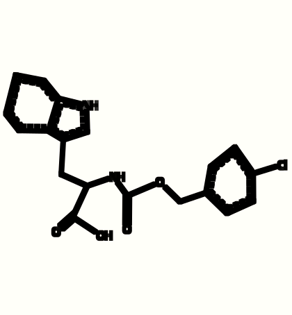 O=C(NC(Cc1c[nH]c2ccccc12)C(=O)O)OCc1ccc(Cl)cc1